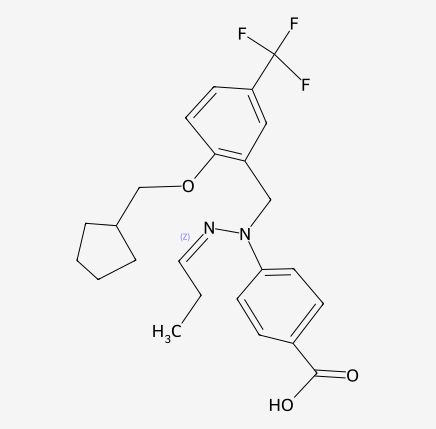 CC/C=N\N(Cc1cc(C(F)(F)F)ccc1OCC1CCCC1)c1ccc(C(=O)O)cc1